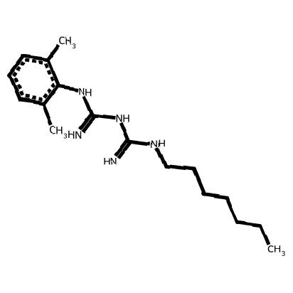 CCCCCCCNC(=N)NC(=N)Nc1c(C)cccc1C